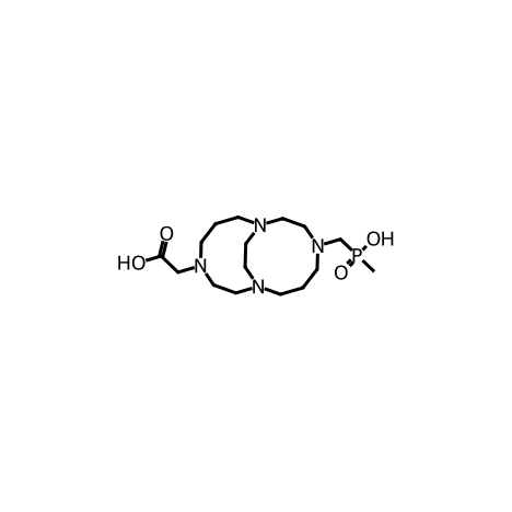 CP(=O)(O)CN1CCCN2CCN(CCCN(CC(=O)O)CC2)CC1